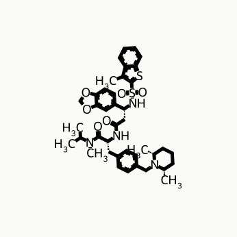 Cc1c(S(=O)(=O)N[C@H](CC(=O)N[C@H](Cc2ccc(CN3[C@H](C)CCC[C@@H]3C)cc2)C(=O)N(C)C(C)C)c2ccc3c(c2)OCO3)sc2ccccc12